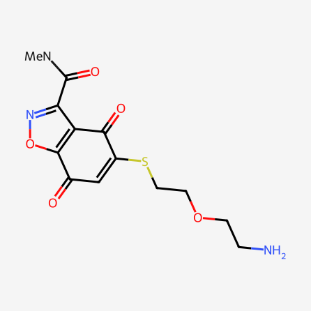 CNC(=O)c1noc2c1C(=O)C(SCCOCCN)=CC2=O